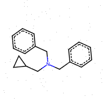 c1ccc(CN(C[C]2CC2)Cc2ccccc2)cc1